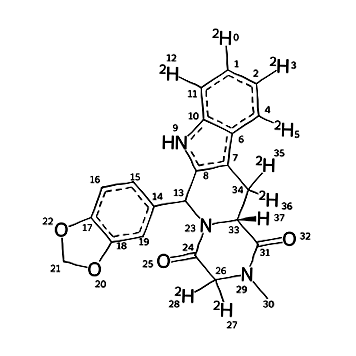 [2H]c1c([2H])c([2H])c2c3c([nH]c2c1[2H])C(c1ccc2c(c1)OCO2)N1C(=O)C([2H])([2H])N(C)C(=O)[C@H]1C3([2H])[2H]